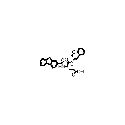 O=C(O)CC[C@H](NC(=O)c1ccc2c(c1)Cc1ccccc1-2)C(=O)N[C@H](CO)Cc1ccccc1